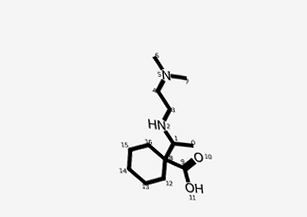 CC(NCCN(C)C)C1(C(=O)O)CCCCC1